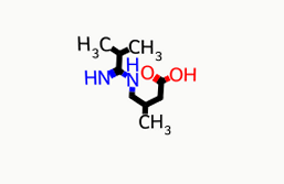 CC(CNC(=N)C(C)C)CC(=O)O